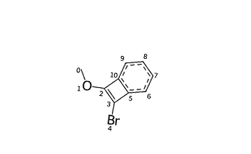 COC1=C(Br)c2ccccc21